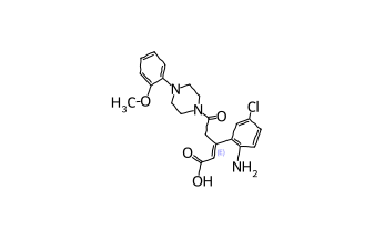 COc1ccccc1N1CCN(C(=O)C/C(=C\C(=O)O)c2cc(Cl)ccc2N)CC1